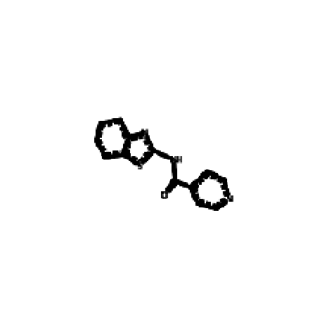 O=C(Nc1nc2ccccc2s1)c1ccncc1